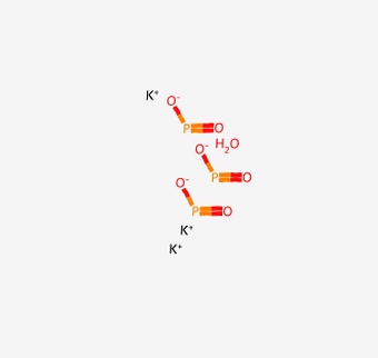 O.O=P[O-].O=P[O-].O=P[O-].[K+].[K+].[K+]